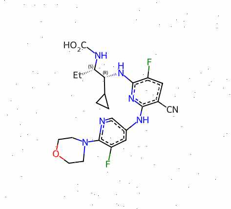 CC[C@H](NC(=O)O)[C@H](Nc1nc(Nc2cnc(N3CCOCC3)c(F)c2)c(C#N)cc1F)C1CC1